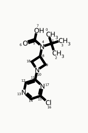 CC(C)(C)N(C(=O)O)C1CN(c2cncc(Cl)n2)C1